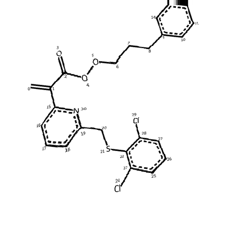 C=C(C(=O)OOCCCc1ccccc1)c1cccc(CSc2c(Cl)cccc2Cl)n1